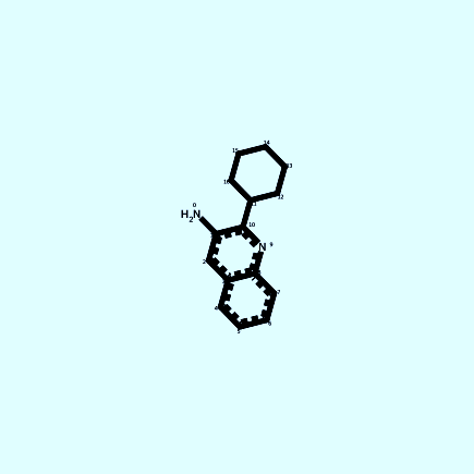 Nc1cc2ccccc2nc1C1CCCCC1